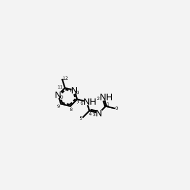 CC(=N)/N=C(/C)Nc1ccnc(C)n1